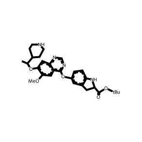 COc1cc2c(Oc3ccc4c(c3)CC(C(=O)OC(C)(C)C)N4)ncnc2cc1OC(C)C1CCNCC1